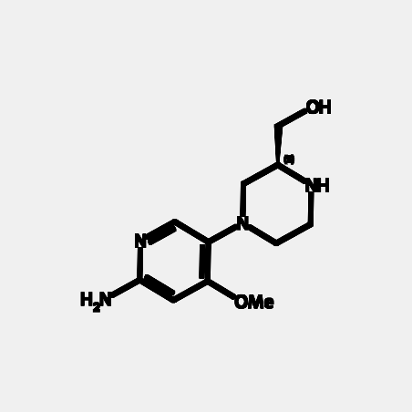 COc1cc(N)ncc1N1CCN[C@H](CO)C1